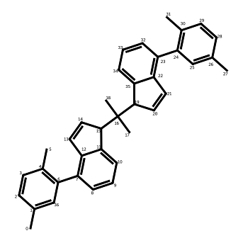 Cc1ccc(C)c(-c2cccc3c2C=CC3C(C)(C)C2C=Cc3c(-c4cc(C)ccc4C)cccc32)c1